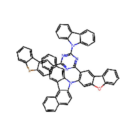 c1ccc2cc3c(cc2c1)c1c2ccccc2ccc1n3-c1cc2oc3ccccc3c2cc1-c1nc(-c2ccc3sc4ccccc4c3c2)nc(-n2c3ccccc3c3ccccc32)n1